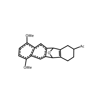 COc1ccc(OC)c2cc3c(cc12)C1OC3C2=C1CCC(C(C)=O)C2